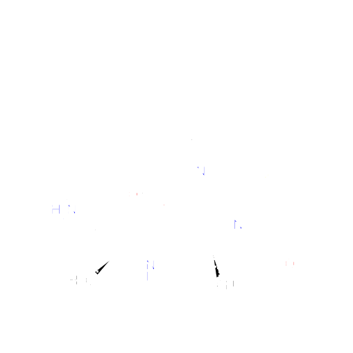 C[C@H](NC(=O)[C@H](C)N1C(=O)CSC1=Nc1ccccc1)C(N)=O